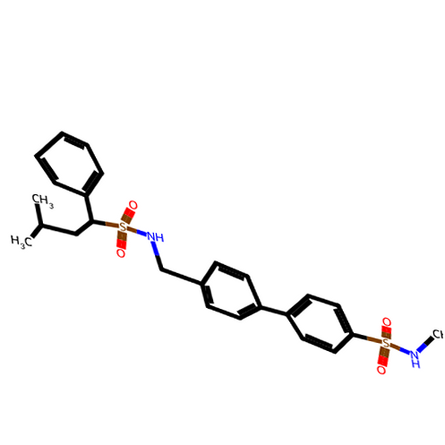 CNS(=O)(=O)c1ccc(-c2ccc(CNS(=O)(=O)C(CC(C)C)c3ccccc3)cc2)cc1